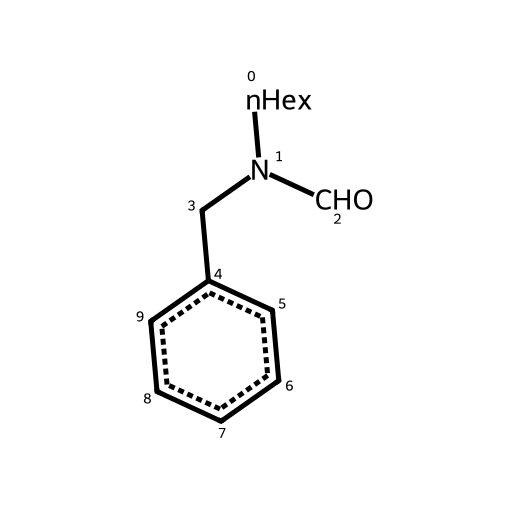 CCCCCCN(C=O)Cc1ccccc1